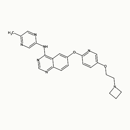 Cc1cnc(Nc2ncnc3ccc(Oc4ccc(OCCN5CCC5)cn4)cc23)cn1